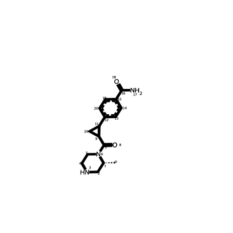 C[C@@H]1CNCCN1C(=O)C1CC1c1ccc(C(N)=O)cc1